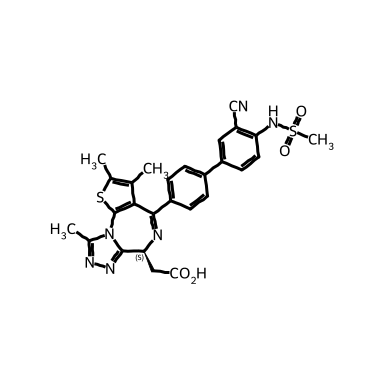 Cc1sc2c(c1C)C(c1ccc(-c3ccc(NS(C)(=O)=O)c(C#N)c3)cc1)=N[C@@H](CC(=O)O)c1nnc(C)n1-2